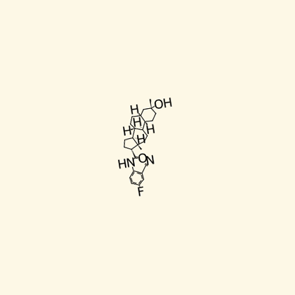 C[C@@]1(O)CC[C@H]2[C@H](CC[C@@H]3[C@@H]2CC[C@]2(C)[C@@H](C(=O)Nc4ccc(F)cc4C#N)CC[C@@H]32)C1